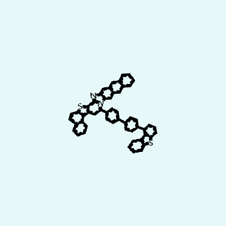 c1ccc2cc3cc4c(cc3cc2c1)nc1c2sc3ccc5ccccc5c3c2cc(-c2ccc(-c3ccc(-c5cccc6sc7ccccc7c56)cc3)cc2)n41